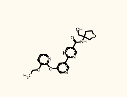 CCOc1cccnc1Oc1cncc(-c2ncc(C(=O)NC3(CO)CCOC3)cn2)c1